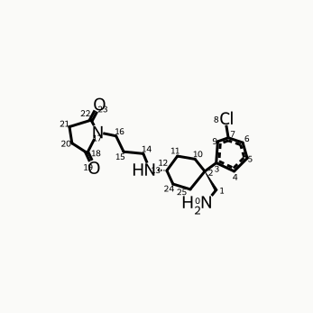 NC[C@]1(c2cccc(Cl)c2)CC[C@@H](NCCCN2C(=O)CCC2=O)CC1